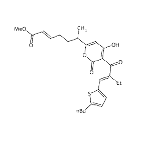 CCCCc1ccc(C=C(CC)C(=O)c2c(O)cc(C(C)CC/C=C/C(=O)OC)oc2=O)s1